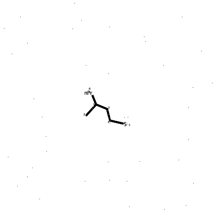 CCCC(C)CC[S]